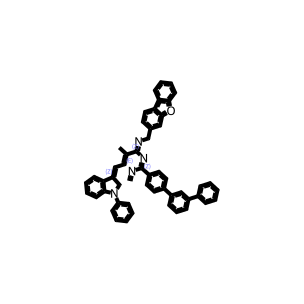 C=N\C(=N/C(=N\Cc1ccc2c(c1)oc1ccccc12)C(/C)=C/C=C1\CN(c2ccccc2)c2ccccc21)c1ccc(-c2cccc(-c3ccccc3)c2)cc1